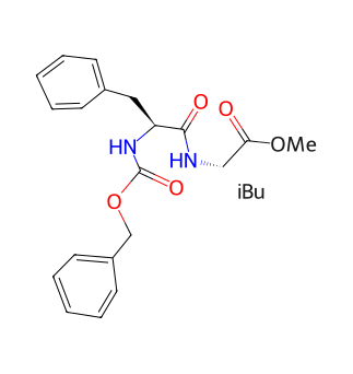 CC[C@H](C)[C@H](NC(=O)[C@H](Cc1ccccc1)NC(=O)OCc1ccccc1)C(=O)OC